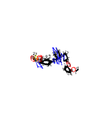 CCOc1ccccc1O[C@@H]1CCCN(c2cncc(Nc3ccc(NS(C)(=O)=O)cc3)n2)C1